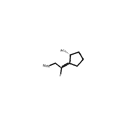 CNC/C(F)=C1/CCC[C@H]1C(C)=O